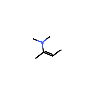 [CH2]C=C(C)N(C)C